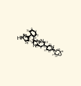 c1ccc(-c2cnc3cc(-c4ccc(N5CCOCC5)nc4)cnn23)c(-c2cc[nH]n2)c1